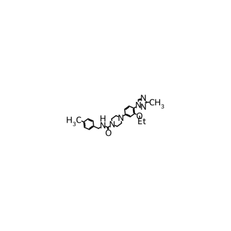 CCOc1cc(N2CCN(C(=O)NCc3ccc(C)cc3)CC2)ccc1-n1cnc(C)n1